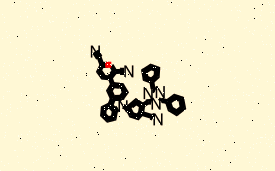 C=C(C#N)/C=C\C(=C(/C)C#N)c1ccc2c(c1)c1ccccc1n2-c1ccc(C#N)c(-c2nc(-c3ccccc3)nc(-c3ccccc3)n2)c1